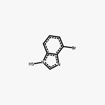 Sn1cnc2c(Br)cccc21